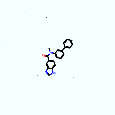 CN(C(=O)c1ccc2[nH]cnc2c1)c1cccc(-c2ccccc2)c1